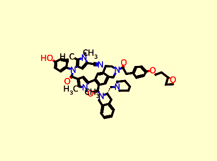 Cc1c(N(C(=O)c2cc(-c3cc4c(cc3C(=O)N3Cc5ccccc5C[C@H]3CN3CCCCC3)CN(C(=O)Cc3ccc(OCCC5CCO5)cc3)CC4)n(C)c2C)c2ccc(O)cc2)cc(C#N)n1C